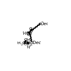 CCCCCCCCCCCCCCCCCC(=O)OC[C@H](CO)OC(=O)CCCCCCCCCCCCCCCCC.C[N+](C)(C)CCO.c1cc[pH]c1